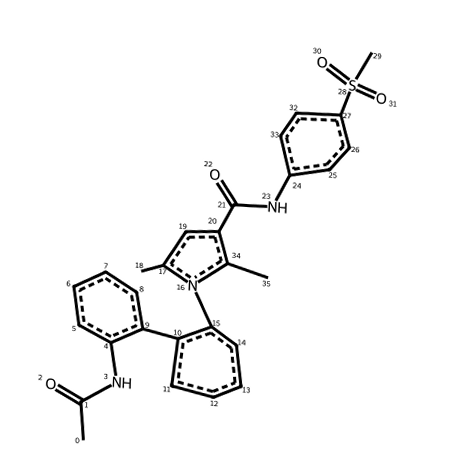 CC(=O)Nc1ccccc1-c1ccccc1-n1c(C)cc(C(=O)Nc2ccc(S(C)(=O)=O)cc2)c1C